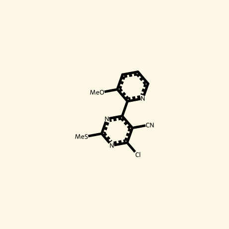 COc1cccnc1-c1nc(SC)nc(Cl)c1C#N